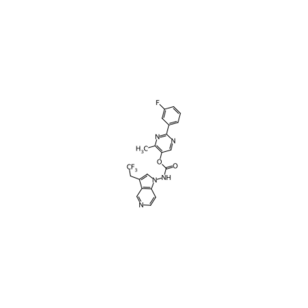 Cc1nc(-c2cccc(F)c2)ncc1OC(=O)Nn1cc(CC(F)(F)F)c2cnccc21